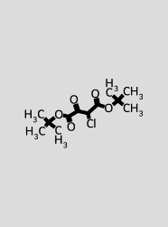 CC(C)(C)OC(=O)C(=O)C(Cl)C(=O)OC(C)(C)C